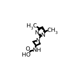 Cc1cc(C)nc(N2CC(NC(=O)O)C2)n1